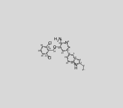 [CH2]Cc1cc2cc(-c3cnc(N)c(OCc4c(Cl)cccc4Cl)c3)ccc2[nH]1